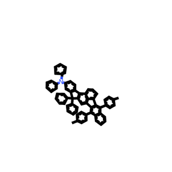 Cc1ccc(-c2c3c(c(-c4ccc(C)cc4)c4ccccc24)-c2cc4c(c5cccc-3c25)-c2ccc(N(c3ccccc3)c3ccccc3)cc2C4(c2ccccc2)c2ccccc2)cc1